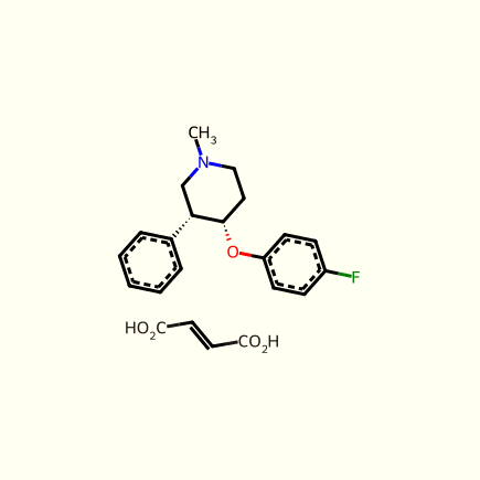 CN1CC[C@H](Oc2ccc(F)cc2)[C@H](c2ccccc2)C1.O=C(O)C=CC(=O)O